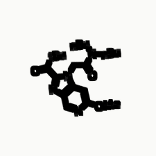 CCCCN(CCCC)C(=O)Cn1c(C(=O)C(C)(C)C)nc2cnc(OC)cc21